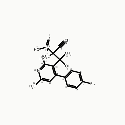 C#CC(C(=O)O)([PH](=O)O)C(C)(O)c1c(-c2ccc(F)cc2)cc(C)nc1C(C)C